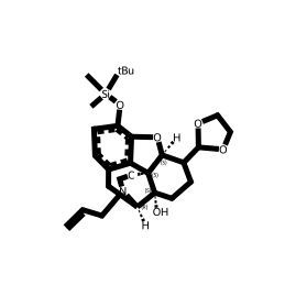 C=CCN1CC[C@]23c4c5ccc(O[Si](C)(C)C(C)(C)C)c4O[C@H]2C(C2OCCO2)CC[C@@]3(O)[C@H]1C5